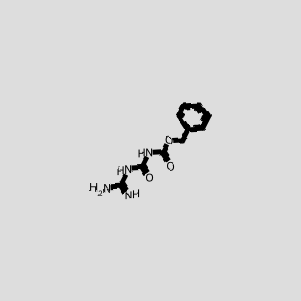 N=C(N)NC(=O)NC(=O)OCc1ccccc1